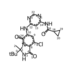 CC(C)(C)C1(C)NC(=O)c2c(Cl)cc(Nc3cc(NC(=O)C4CC4)ncn3)c(=O)n21